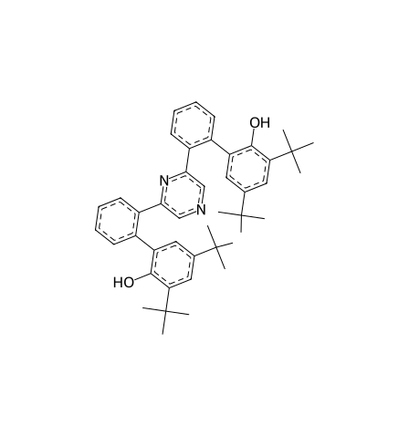 CC(C)(C)c1cc(-c2ccccc2-c2cncc(-c3ccccc3-c3cc(C(C)(C)C)cc(C(C)(C)C)c3O)n2)c(O)c(C(C)(C)C)c1